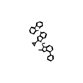 CC1=Cc2c(-c3ccccc3)cccc2C1[Si](C)(C)C1C(C2CC2)=Cc2c1cccc2-n1c2ccccc2c2ccccc21